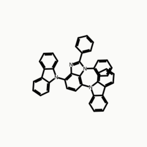 c1ccc(-c2nc3c(-n4c5ccccc5c5ccccc54)ccc(-n4c5ccccc5c5ccccc54)c3n2-c2ccccc2)cc1